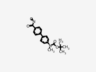 CN(C(=O)OC(C)(C)C)c1ccc(-c2ccc(C(=O)N=O)cc2)cc1